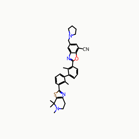 Cc1c(-c2nc3cc(CN4CCCC4)cc(C#N)c3o2)cccc1-c1cccc(-c2nc3c(s2)C(C)(C)N(C)CC3)c1C